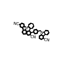 N#Cc1ccc2c(c1)c1ccccc1n2C1=C(c2cccc(C#N)c2-c2ccc(CN3c4cccc(C#N)c4C4C=CC=CC43)cc2)C=CCC=C1